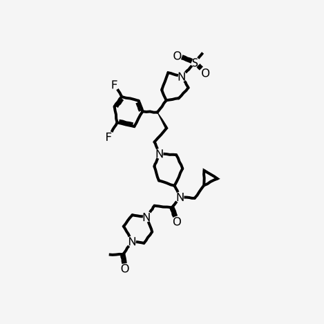 CC(=O)N1CCN(CC(=O)N(CC2CC2)C2CCN(CC[C@@H](c3cc(F)cc(F)c3)C3CCN(S(C)(=O)=O)CC3)CC2)CC1